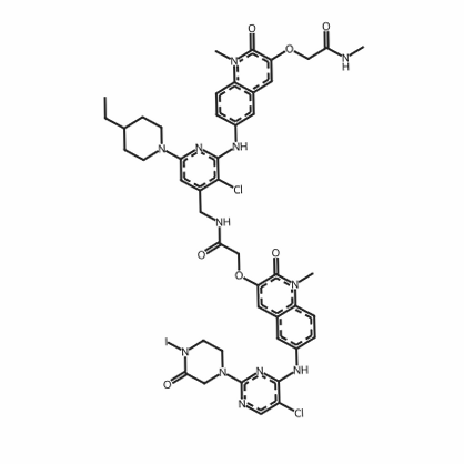 CCC1CCN(c2cc(CNC(=O)COc3cc4cc(Nc5nc(N6CCN(I)C(=O)C6)ncc5Cl)ccc4n(C)c3=O)c(Cl)c(Nc3ccc4c(c3)cc(OCC(=O)NC)c(=O)n4C)n2)CC1